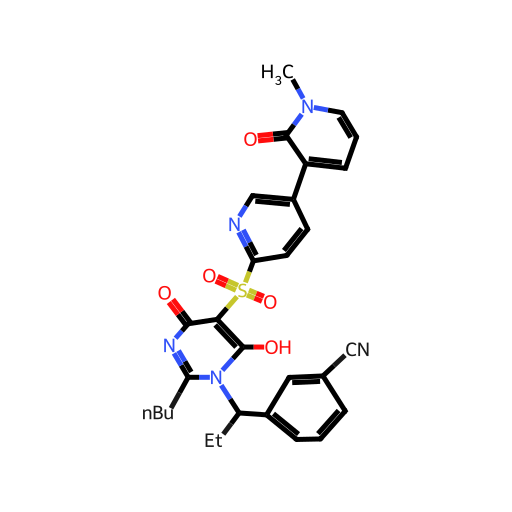 CCCCc1nc(=O)c(S(=O)(=O)c2ccc(-c3cccn(C)c3=O)cn2)c(O)n1C(CC)c1cccc(C#N)c1